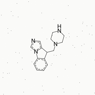 c1ccc2c(c1)C(CN1CCNCC1)c1cncn1-2